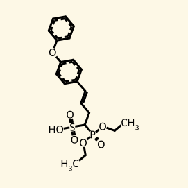 CCOP(=O)(OCC)C(CC=Cc1ccc(Oc2ccccc2)cc1)S(=O)(=O)O